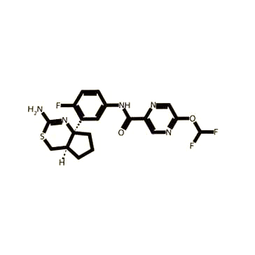 NC1=N[C@@]2(c3cc(NC(=O)c4cnc(OC(F)F)cn4)ccc3F)CCC[C@H]2CS1